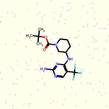 CC(C)(C)OC(=O)N1CCCC(Nc2nc(N)ncc2C(F)(F)F)C1